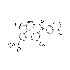 Cc1ccc(C(=O)N(c2cccc(C#N)c2)c2ccc3c(c2)CCCC3=O)cc1-c1ccc(C(N)=O)cc1